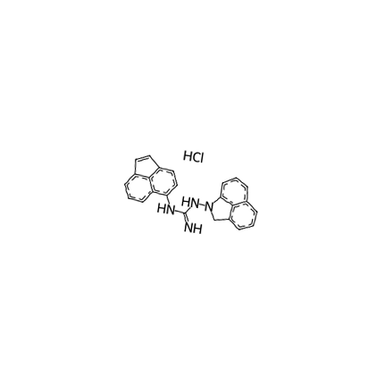 Cl.N=C(Nc1ccc2c3c(cccc13)C=C2)NN1Cc2cccc3cccc1c23